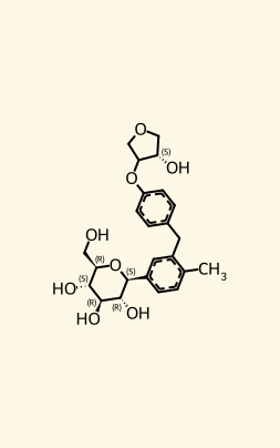 Cc1ccc([C@@H]2O[C@H](CO)[C@@H](O)[C@H](O)[C@H]2O)cc1Cc1ccc(OC2COC[C@@H]2O)cc1